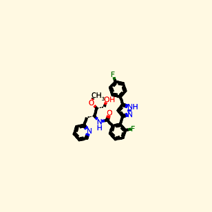 CO[C@H](CO)[C@@H](Cc1ccccn1)NC(=O)c1cccc(F)c1-c1cc(-c2ccc(F)cc2)[nH]n1